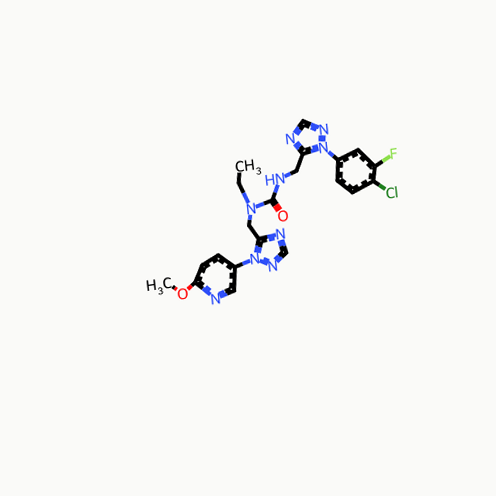 CCN(Cc1ncnn1-c1ccc(OC)nc1)C(=O)NCc1ncnn1-c1ccc(Cl)c(F)c1